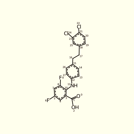 O=C(O)c1cc(F)cc(F)c1Nc1ccc(CCc2ccc(Cl)c(Cl)c2)cc1